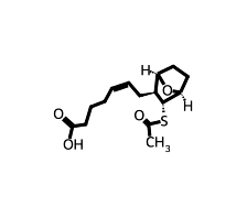 CC(=O)S[C@@H]1[C@@H](C/C=C\CCCC(=O)O)[C@H]2CC[C@@H]1O2